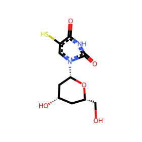 O=c1[nH]c(=O)n([C@H]2C[C@@H](O)C[C@@H](CO)O2)cc1S